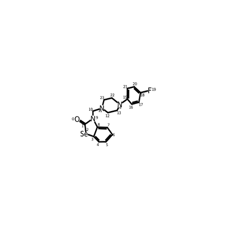 O=c1[se]c2ccccc2n1CN1CCN(c2ccc(F)cc2)CC1